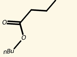 [CH2]CCCCCCC(=O)OCCCC